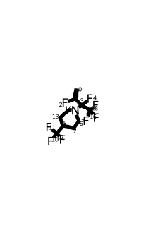 C=C(F)C(F)(N1CCC(C(F)(F)F)CC1)C(F)(F)F